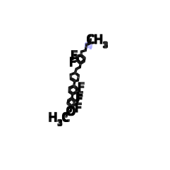 C/C=C/CCc1ccc(CCC2CC=C(c3ccc(-c4ccc(OCC)c(F)c4F)c(F)c3F)CC2)c(F)c1F